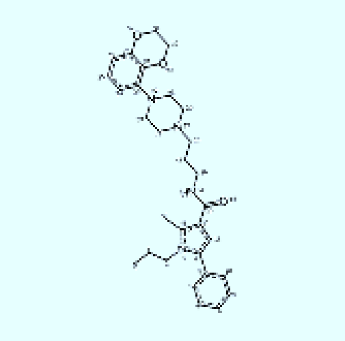 CCCn1c(-c2ccccc2)cc(C(=O)NCCCN2CCN(c3cccc4c3OCCO4)CC2)c1C